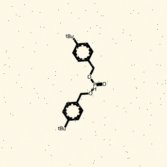 CC(C)(C)c1ccc(CO[PH](=O)OCc2ccc(C(C)(C)C)cc2)cc1